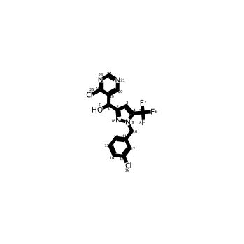 OC(c1cc(C(F)(F)F)n(Cc2cccc(Cl)c2)n1)c1cncnc1Cl